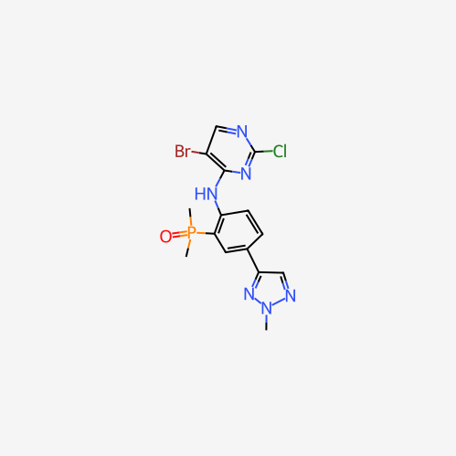 Cn1ncc(-c2ccc(Nc3nc(Cl)ncc3Br)c(P(C)(C)=O)c2)n1